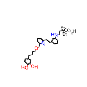 CCC(CC)(CCNc1cccc(C=Cc2cccc(COCCCCc3ccc(O)c(O)c3)n2)c1)C(=O)O